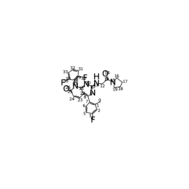 Cc1cc(F)ccc1-c1nc(NCC(=O)N2CCCC2)nc2c1ccc(=O)n2-c1c(F)cccc1F